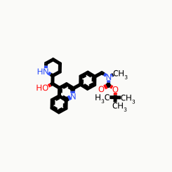 CN(Cc1ccc(-c2cc(C(O)C3CCCCN3)c3ccccc3n2)cc1)C(=O)OC(C)(C)C